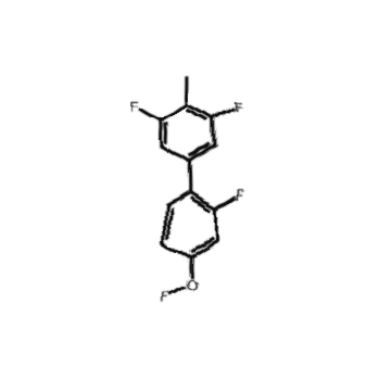 Cc1c(F)cc(-c2ccc(OF)cc2F)cc1F